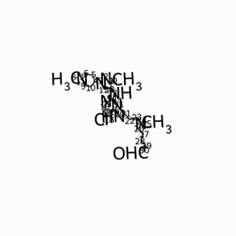 Cc1nn(C2CCN(C)CC2)cc1Nc1ncc(Cl)c(NCCCN(C)CCCCC=O)n1